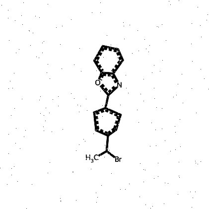 CC(Br)c1ccc(-c2nc3ccccc3o2)cc1